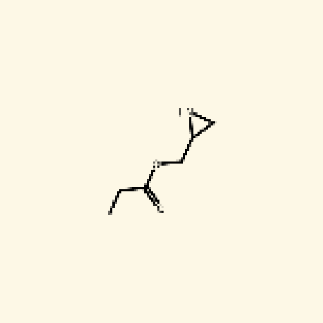 CCC(=O)OCC1CN1